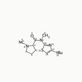 CN(C(=O)C1CCCN1C#N)c1nc(C(C)(C)C)cs1